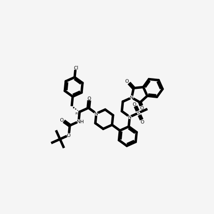 CC(C)(C)OC(=O)N[C@H](Cc1ccc(Cl)cc1)C(=O)N1CCC(c2ccccc2N(CCN2C(=O)c3ccccc3C2=O)S(C)(=O)=O)CC1